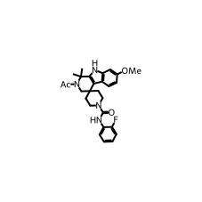 COc1ccc2c3c([nH]c2c1)C(C)(C)N(C(C)=O)CC31CCN(C(=O)Nc2ccccc2F)CC1